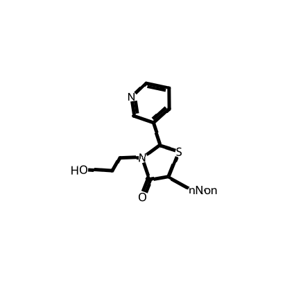 CCCCCCCCCC1SC(c2cccnc2)N(CCO)C1=O